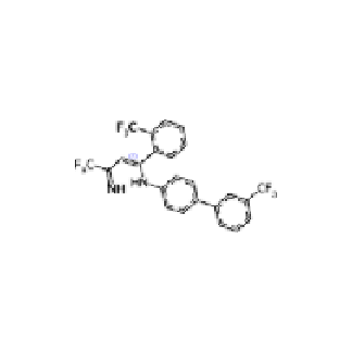 N=C(/C=C(\Nc1ccc(-c2cccc(C(F)(F)F)c2)cc1)c1ccccc1C(F)(F)F)C(F)(F)F